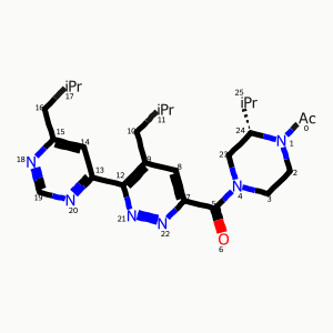 CC(=O)N1CCN(C(=O)c2cc(CC(C)C)c(-c3cc(CC(C)C)ncn3)nn2)C[C@@H]1C(C)C